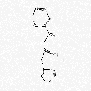 O=C(NC(Cc1ccoc1)=NO)c1cccnc1